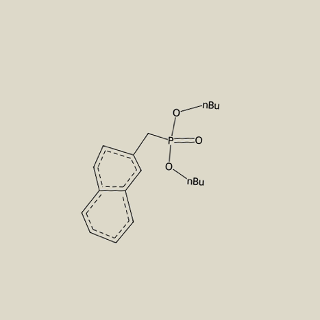 CCCCOP(=O)(Cc1ccc2ccccc2c1)OCCCC